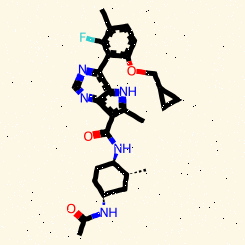 CC(=O)N[C@@H]1CC[C@@H](NC(=O)c2c(C)[nH]c3c(-c4c(OCC5CC5)ccc(C)c4F)ncnc23)[C@H](C)C1